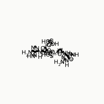 N=Nc1c(N)ncnc1N[C@@H]1O[C@H](COP(O)(O)=S)[C@@H](OP(O)(=S)OC[C@@H]2CC[C@H](Nc3nc(N)[nH]c(=O)c3N=N)O2)[C@@H]1F